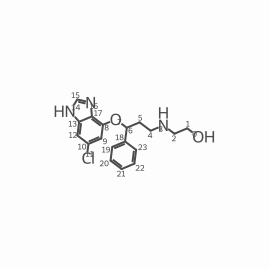 OCCNCCC(Oc1cc(Cl)cc2[nH]cnc12)c1ccccc1